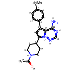 CNc1ccc(-c2cc(C3CCN(C(=O)C(C)C)CC3)n3ncnc(N)c23)cc1